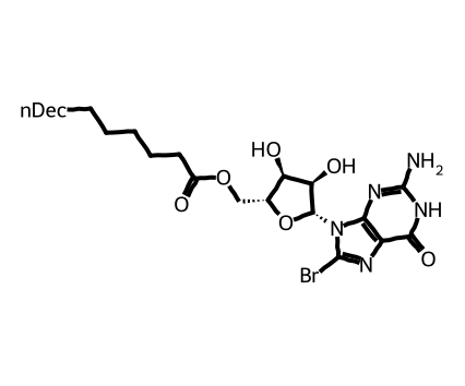 CCCCCCCCCCCCCCCC(=O)OC[C@H]1O[C@@H](n2c(Br)nc3c(=O)[nH]c(N)nc32)[C@H](O)[C@@H]1O